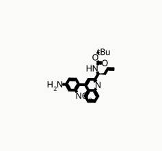 C=CC[C@H](NC(=O)OC(C)(C)C)c1cc(-c2ccc(N)cc2[N+](=O)[O-])c2ccccc2n1